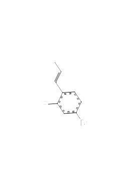 CC=Cc1ccc(Br)cc1F